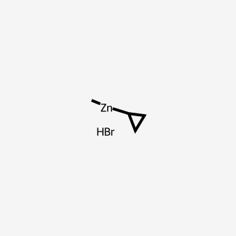 Br.[CH3][Zn][CH]1CC1